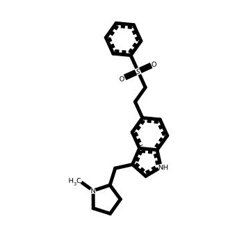 CN1CCCC1Cc1c[nH]c2ccc(CCS(=O)(=O)c3ccccc3)cc12